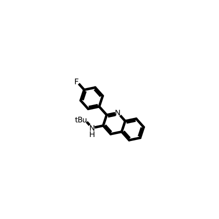 CC(C)(C)Nc1cc2ccccc2nc1-c1ccc(F)cc1